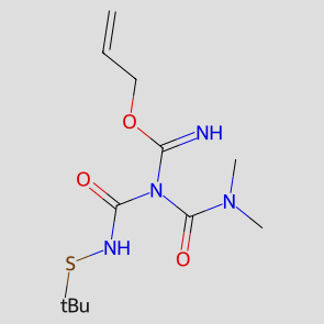 C=CCOC(=N)N(C(=O)NSC(C)(C)C)C(=O)N(C)C